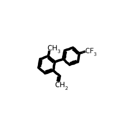 C=Cc1cccc(C)c1-c1ccc(C(F)(F)F)cc1